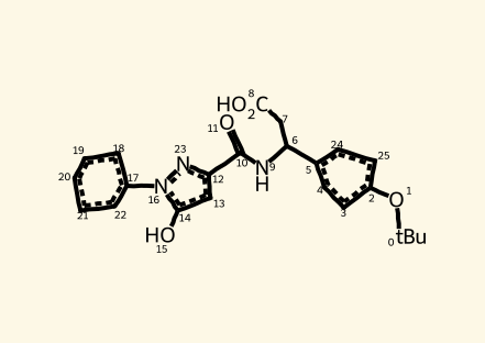 CC(C)(C)Oc1ccc(C(CC(=O)O)NC(=O)c2cc(O)n(-c3ccccc3)n2)cc1